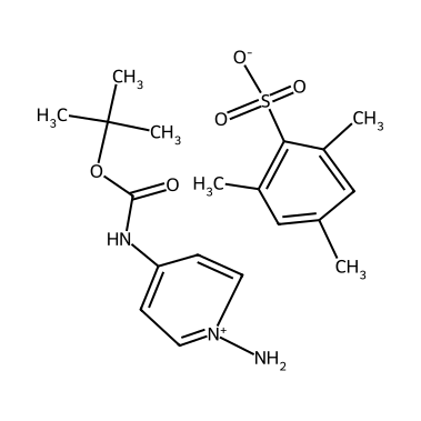 CC(C)(C)OC(=O)Nc1cc[n+](N)cc1.Cc1cc(C)c(S(=O)(=O)[O-])c(C)c1